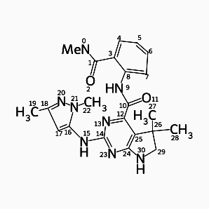 CNC(=O)c1ccccc1NC(=O)c1nc(Nc2cc(C)nn2C)nc2c1C(C)(C)CN2